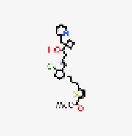 COC(=O)c1ccc(CCC[C@H]2CCC(Cl)C2/C=C/CC(O)C2(Cc3ccccn3)CCC2)s1